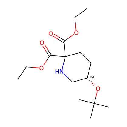 CCOC(=O)C1(C(=O)OCC)CC[C@H](OC(C)(C)C)CN1